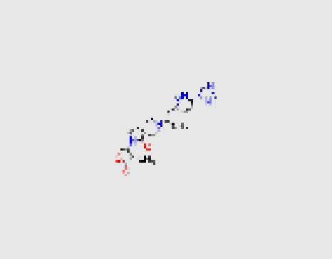 CC1=C(N2C=CC3(CCN([C@H](C)Cc4ccc(-n5cnnn5)nn4)CC3)C2=O)COC1=O